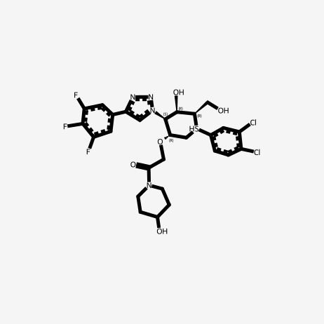 O=C(CO[C@H]1C[SH](c2ccc(Cl)c(Cl)c2)[C@H](CO)[C@H](O)[C@@H]1n1cc(-c2cc(F)c(F)c(F)c2)nn1)N1CCC(O)CC1